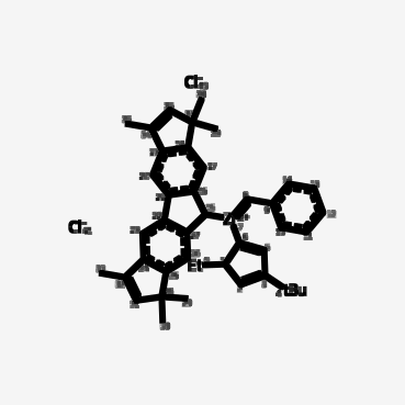 CCC1C=C(C(C)(C)C)C=[C]1/[Zr+2](=[CH]\c1ccccc1)[CH]1c2cc3c(cc2-c2cc4c(cc21)C(C)(C)C=C4C)C(C)=CC3(C)C.[Cl-].[Cl-]